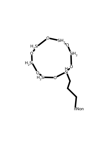 CCCCCCCCCCCC[SiH]1O[SiH2]O[SiH2]O[SiH2]O[SiH2]O[SiH2]O1